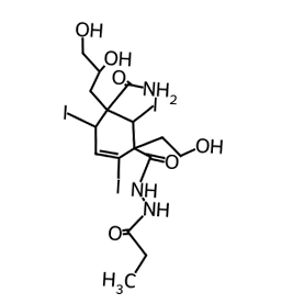 CCC(=O)NNC(=O)C1(CCO)C(I)=CC(I)C(CC(O)CO)(C(N)=O)C1I